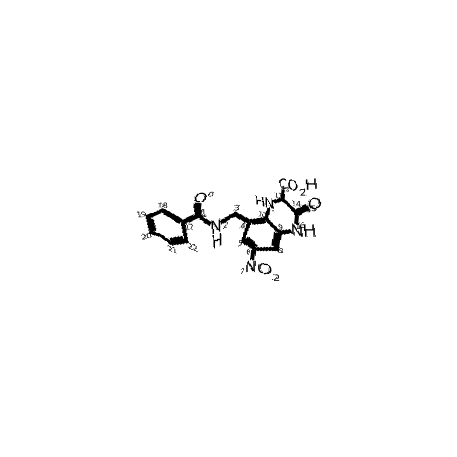 O=C(NCc1cc([N+](=O)[O-])cc2c1NC(C(=O)O)C(=O)N2)c1ccccc1